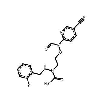 CC(=O)N(CCON(C=O)c1ccc(C#N)cn1)NCc1ccccc1Cl